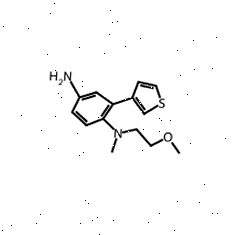 COCCN(C)c1ccc(N)cc1-c1ccsc1